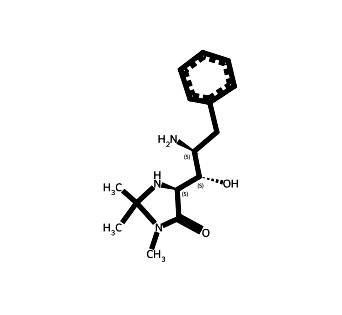 CN1C(=O)[C@H]([C@@H](O)[C@@H](N)Cc2ccccc2)NC1(C)C